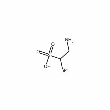 CCCC(CN)S(=O)(=O)O